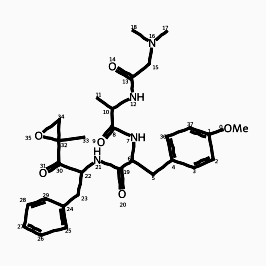 COc1ccc(CC(NC(=O)C(C)NC(=O)CN(C)C)C(=O)NC(Cc2ccccc2)C(=O)C2(C)CO2)cc1